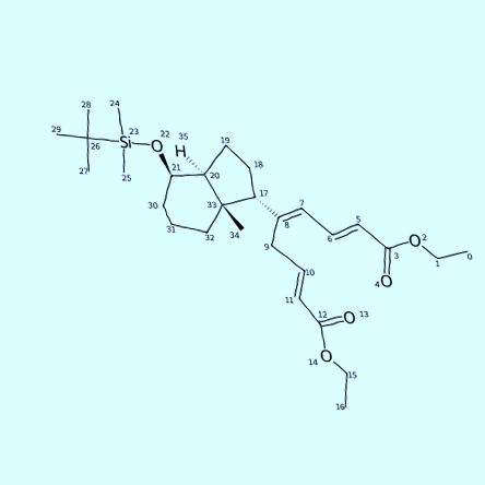 CCOC(=O)/C=C/C=C(\C/C=C/C(=O)OCC)[C@H]1CC[C@@H]2[C@H](O[Si](C)(C)C(C)(C)C)CCC[C@@]12C